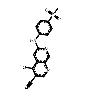 CS(=O)(=O)c1ccc(Nc2cc3c(O)c(C#N)cnc3cn2)cc1